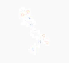 CN(C)CCn1c(=O)oc2cc(N3CCN(C(=O)OC(C)(C)C)C(C)(C)C3)ccc21